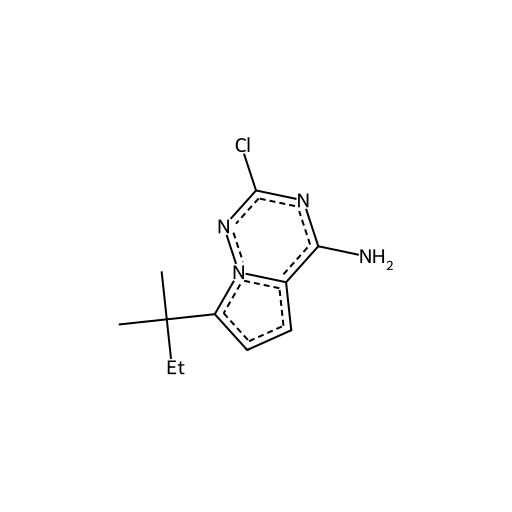 CCC(C)(C)c1ccc2c(N)nc(Cl)nn12